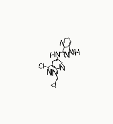 Clc1nn(CC2CC2)c2ncc(Nc3n[nH]c4cccnc34)cc12